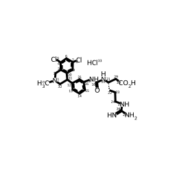 CN1Cc2c(Cl)cc(Cl)cc2C(c2cccc(NC(=O)N[C@@H](CCCNC(=N)N)CC(=O)O)c2)C1.Cl